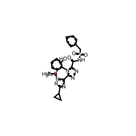 COc1cccc(O)c1-n1c(C(=O)NS(=O)(=O)Cc2ccccc2)nnc1-c1nc(C2CC2)nn1CP